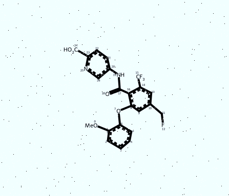 COc1ccccc1Oc1cc(CF)cc(C(F)(F)F)c1C(=O)Nc1ccc(C(=O)O)nc1